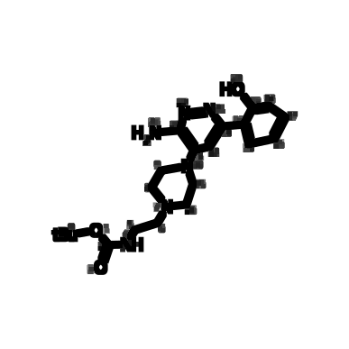 CC(C)(C)OC(=O)NCCN1CCN(c2cc(-c3ccccc3O)nnc2N)CC1